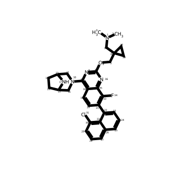 CN(C)CC1(COc2nc(N3CC4CCC(C3)N4)c3ccc(-c4cccc5cccc(Cl)c45)c(F)c3n2)CC1